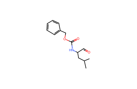 CC(C)CC(C=O)NC(=O)OCc1ccccc1